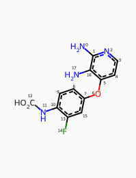 Nc1nccc(Oc2ccc(NC(=O)O)c(F)c2)c1N